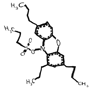 CCCc1cc(CCC)c2c(c1)Oc1ccc(CCC)cc1N2OS(=O)(=O)CCC